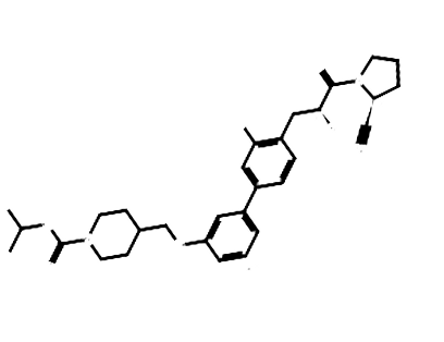 CC(C)OC(=O)N1CCC(COc2cccc(-c3ccc(C[C@H](N)C(=O)N4CCC[C@H]4C#N)c(F)c3)c2)CC1.Cl